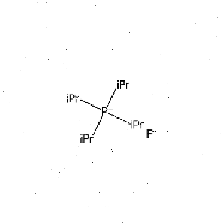 CC(C)[P+](C(C)C)(C(C)C)C(C)C.[F-]